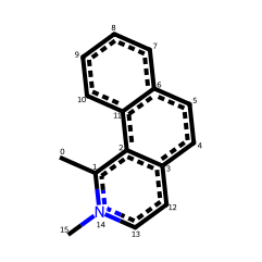 Cc1c2c(ccc3ccccc32)cc[n+]1C